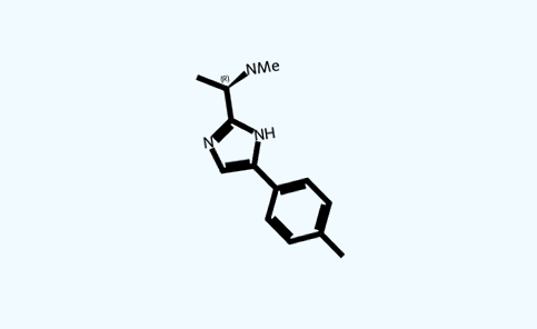 CN[C@H](C)c1ncc(-c2ccc(C)cc2)[nH]1